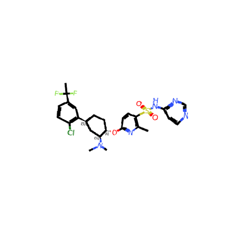 Cc1nc(O[C@H]2CC[C@H](c3cc(C(C)(F)F)ccc3Cl)C[C@@H]2N(C)C)ccc1S(=O)(=O)Nc1ccncn1